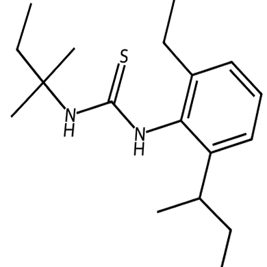 CCc1cccc(C(C)CC)c1NC(=S)NC(C)(C)CC